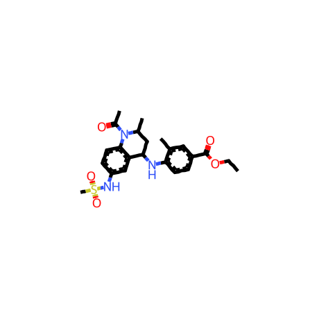 CCOC(=O)c1ccc(NC2CC(C)N(C(C)=O)c3ccc(NS(C)(=O)=O)cc32)c(C)c1